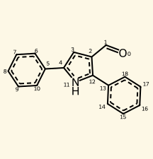 O=Cc1cc(-c2ccccc2)[nH]c1-c1ccccc1